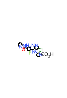 Nc1ncc(Cl)c2c1c(-c1ccc(C(=O)Nc3ccccn3)cc1F)nn2[C@@H]1CCCN(C(=O)O)C1